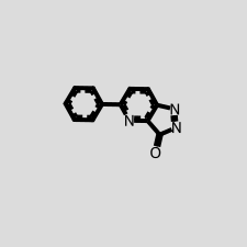 O=C1N=Nc2ccc(-c3ccccc3)nc21